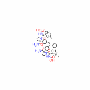 CC(C)[C@H](NC(=O)O)C(=O)N1CCC[C@@]1(C(N)=O)c1ccc(CC(c2ccccc2)c2ccc([C@]3(C(N)=O)CCCN3C(=O)[C@@H](NC(=O)O)C(C)C)cc2)cc1